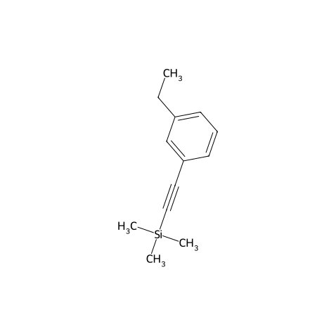 CCc1cccc(C#C[Si](C)(C)C)c1